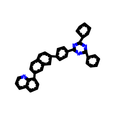 c1ccc(-c2nc(-c3ccccc3)nc(-c3ccc(-c4ccc5ccc(-c6cccc7cccnc67)cc5c4)cc3)n2)cc1